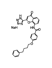 O=C(Nc1cccc2c(=O)cc(-c3nnn[nH]3)oc12)c1ccc(OCCCCc2ccccc2)cc1.[NaH]